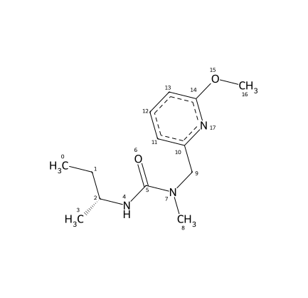 CC[C@@H](C)NC(=O)N(C)Cc1cccc(OC)n1